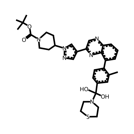 Cc1cc(C(O)(O)N2CCSCC2)ccc1-c1cccc2ncc(-c3cnn(C4CCN(C(=O)OC(C)(C)C)CC4)c3)nc12